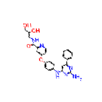 Nc1nc(Nc2ccc(Oc3ccnc(C(=O)NCC(O)CO)c3)cc2)cc(-c2ccccc2)n1